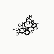 C/C1=C2/C[C@H]2COc2cc(F)c(F)c3c2[C@H](c2ccccc2SC3)N2CN1C(=O)c1c(O)c(=O)ccn12